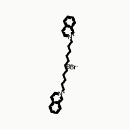 [Br-].[Br-].c1ccc2c[n+](CCCCCCCCCCC[n+]3ccc4ccccc4c3)ccc2c1